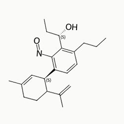 C=C(C)C1CCC(C)=C[C@H]1c1ccc(CCC)c([C@@H](O)CC)c1N=O